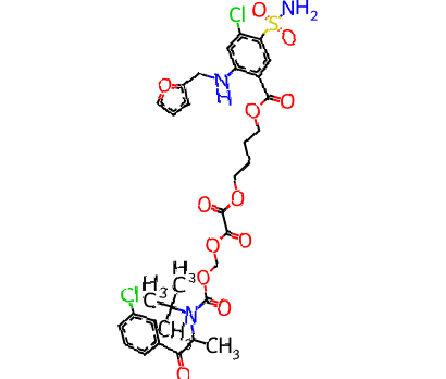 CC(C(=O)c1cccc(Cl)c1)N(C(=O)OCOC(=O)C(=O)OCCCCOC(=O)c1cc(S(N)(=O)=O)c(Cl)cc1NCc1ccco1)C(C)(C)C